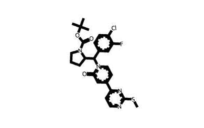 CSc1nccc(-c2ccn(C(c3ccc(Cl)c(F)c3)C3CCCN3C(=O)OC(C)(C)C)c(=O)c2)n1